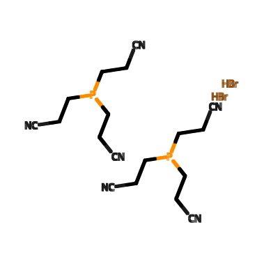 Br.Br.N#CCCP(CCC#N)CCC#N.N#CCCP(CCC#N)CCC#N